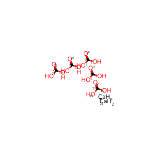 O=C(O)O.O=C(O)O.O=C(O)O.O=C(O)O.O=C(O)O.[CaH2].[CaH2]